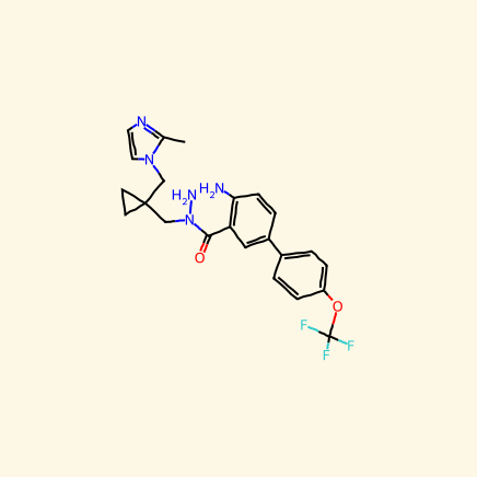 Cc1nccn1CC1(CN(N)C(=O)c2cc(-c3ccc(OC(F)(F)F)cc3)ccc2N)CC1